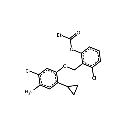 CCC(=O)Oc1cccc(Cl)c1COc1cc(Cl)c(C)cc1C1CC1